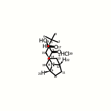 CC(C)(C)NC(=O)CN1[C@@H]2CC[C@H]1C[C@H](CC(=O)O)C2.Cl